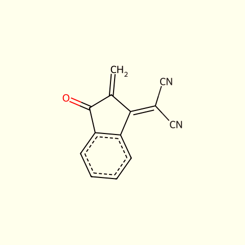 C=C1C(=O)c2ccccc2C1=C(C#N)C#N